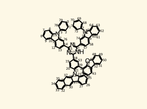 c1ccc(-n2c3ccccc3c3ccc(C4=NC(c5ccc(-n6c7ccccc7c7cc8ccccc8cc76)c(-c6cccc7c6oc6ccccc67)c5)NC(c5ccc6c7ccccc7n(-c7ccccc7)c6c5)=N4)cc32)cc1